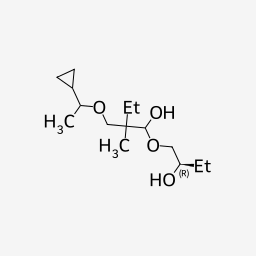 CC[C@@H](O)COC(O)C(C)(CC)COC(C)C1CC1